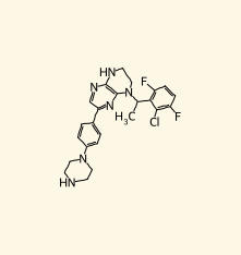 CC(c1c(F)ccc(F)c1Cl)N1CCNc2ncc(-c3ccc(N4CCNCC4)cc3)nc21